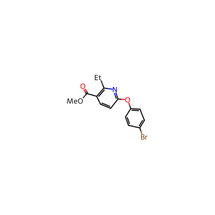 CCc1nc(Oc2ccc(Br)cc2)ccc1C(=O)OC